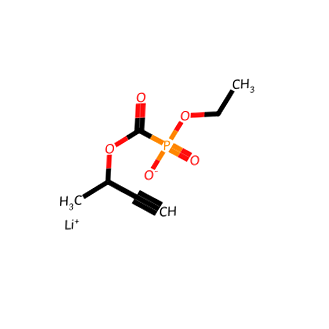 C#CC(C)OC(=O)P(=O)([O-])OCC.[Li+]